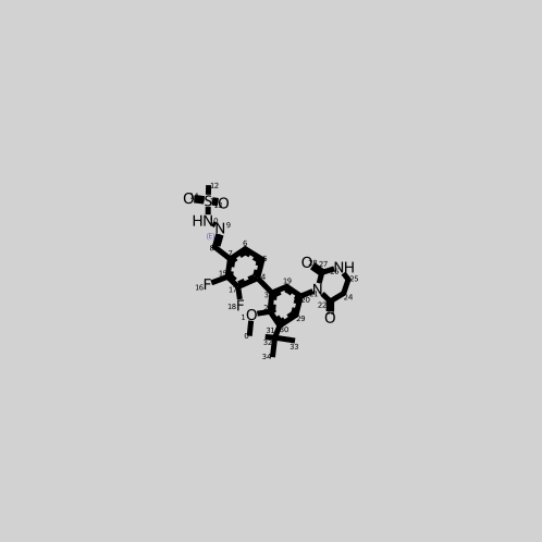 COc1c(-c2ccc(/C=N/NS(C)(=O)=O)c(F)c2F)cc(N2C(=O)CCNC2=O)cc1C(C)(C)C